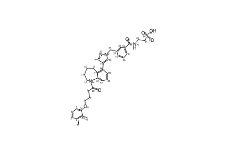 Cc1cccc(OCCCC(=O)N2CCCCc3c(-c4cnn(Cc5cccc(C(=O)NCCS(=O)(=O)O)c5)c4)cccc32)c1C